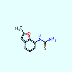 Cc1cc2cccc(NC(N)=S)c2o1